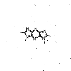 Cc1nc2nc3nc(C)n(C)c3nc2n1C